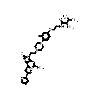 CC(C)C(N)C(=O)NCCOc1ccc(N2CCN(CCn3c(=O)sc4c3nc(N)n3nc(-c5ccco5)cc43)CC2)c(F)c1